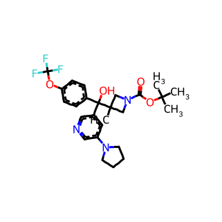 CC(C)(C)OC(=O)N1CC(C)(C(O)(c2ccc(OC(F)(F)F)cc2)c2cncc(N3CCCC3)c2)C1